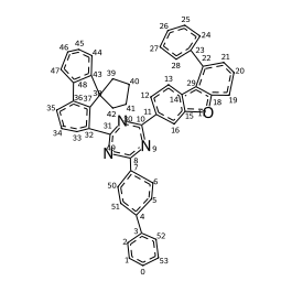 c1ccc(-c2ccc(-c3nc(-c4ccc5c(c4)oc4cccc(-c6ccccc6)c45)nc(-c4cccc5c4C4(CCCC4)c4ccccc4-5)n3)cc2)cc1